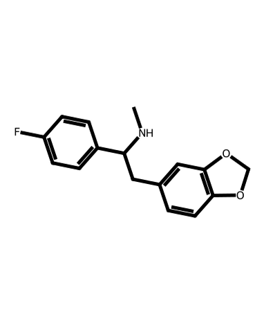 CNC(Cc1ccc2c(c1)OCO2)c1ccc(F)cc1